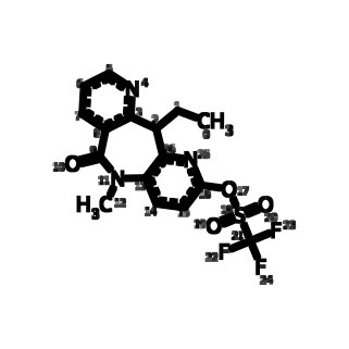 CCC1c2ncccc2C(=O)N(C)c2ccc(OS(=O)(=O)C(F)(F)F)nc21